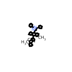 Cc1ccc2c(-c3cc(-c4ccccc4)nc(-c4ccccc4)n3)c3ccccc3c(-c3ccc4c(c3)C(C)(C)c3ccccc3-4)c2c1